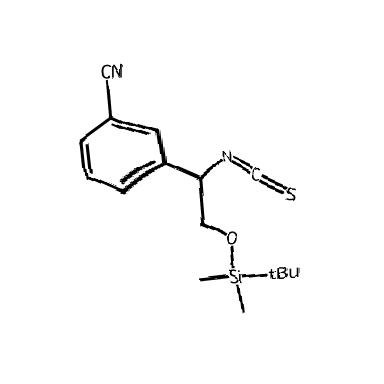 CC(C)(C)[Si](C)(C)OCC(N=C=S)c1cccc(C#N)c1